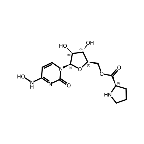 O=C(OC[C@H]1O[C@@H](n2ccc(NO)nc2=O)[C@H](O)[C@@H]1O)[C@H]1CCCN1